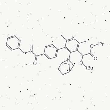 Cc1nc(C)c(C(OC(C)(C)C)C(=O)OC(C)C)c(N2CC3CCC2C3)c1-c1ccc(C(=O)NCc2ccccc2)cc1